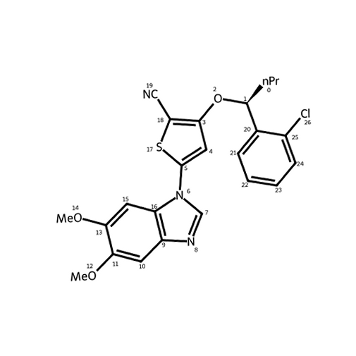 CCC[C@H](Oc1cc(-n2cnc3cc(OC)c(OC)cc32)sc1C#N)c1ccccc1Cl